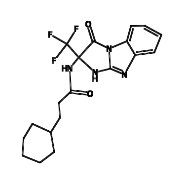 O=C(CCC1CCCCC1)NC1(C(F)(F)F)Nc2nc3ccccc3n2C1=O